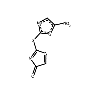 O=C1C=NC(Sc2ncc([N+](=O)[O-])s2)=N1